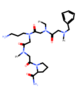 CC(=O)N(CC(=O)N(CC(=O)N(CCCN)CC(=O)N(CC(=O)N1CCCC1C(N)=O)C(C)C)CC(C)C)Cc1ccccc1